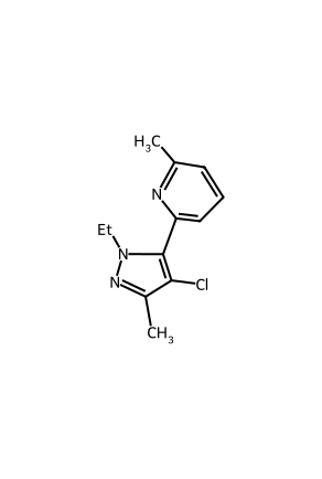 CCn1nc(C)c(Cl)c1-c1cccc(C)n1